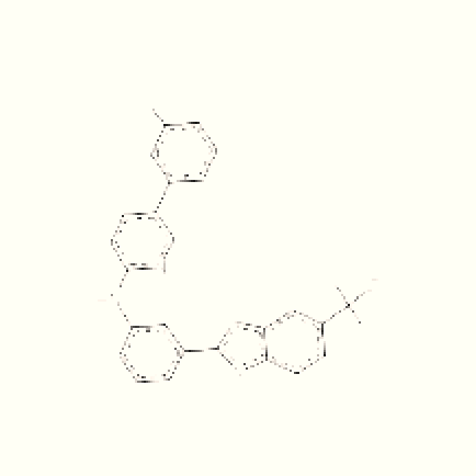 Fc1cccc(-c2ccc(Nc3cccc(-c4nc5ccc(C(F)(F)F)cc5[nH]4)c3)nc2)c1